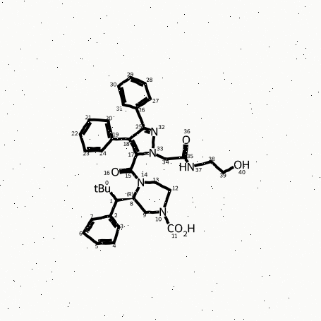 CC(C)(C)C(c1ccccc1)[C@@H]1CN(C(=O)O)CCN1C(=O)c1c(-c2ccccc2)c(-c2ccccc2)nn1CC(=O)NCCO